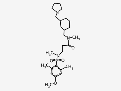 COc1cc(C)c(S(=O)(=O)N(C)CCC(=O)N(C)CC2CCCC(CN3CCCC3)C2)c(C)c1